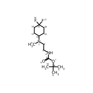 CN(CCNC(=O)OC(C)(C)C)C1CCC(F)(F)CC1